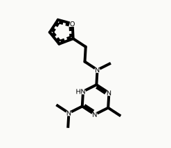 CC1N=C(N(C)C)NC(N(C)CCc2ccco2)=N1